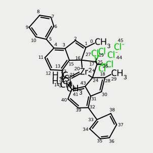 CC1=Cc2c(-c3ccccc3)ccc(C)c2[C]1(C(Cl)Cl)[Zr+2](=[Si](C)C)[C]1(C(Cl)Cl)C(C)=Cc2c(-c3ccccc3)ccc(C)c21.[Cl-].[Cl-]